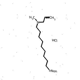 C=CCN(C)CCCCCCCCCCCCCCCCCC.Cl